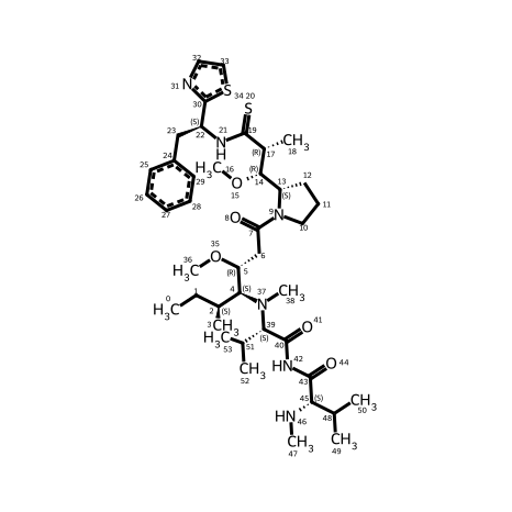 CC[C@H](C)[C@@H]([C@@H](CC(=O)N1CCC[C@H]1[C@H](OC)[C@@H](C)C(=S)N[C@@H](Cc1ccccc1)c1nccs1)OC)N(C)[C@H](C(=O)NC(=O)[C@@H](NC)C(C)C)C(C)C